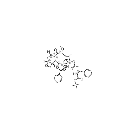 CO[C@H]1C(=O)[C@]23C[C@H]2C[C@H]2OC[C@H]2C3[C@H](OC(=O)c2ccccc2)[C@]2(O)C[C@H](OC(=O)C[C@@H](NC(=O)OC(C)(C)C)c3ccccc3)C(C)=C1C2(C)C